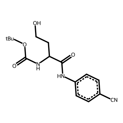 CC(C)(C)OC(=O)NC(CCO)C(=O)Nc1ccc(C#N)cc1